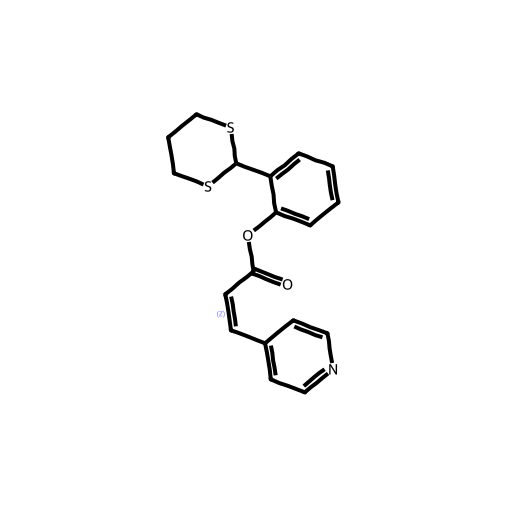 O=C(/C=C\c1ccncc1)Oc1ccccc1C1SCCCS1